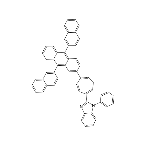 C1=CC(c2nc3ccccc3n2-c2ccccc2)=CCC=C1c1ccc2c(-c3ccc4ccccc4c3)c3ccccc3c(-c3ccc4ccccc4c3)c2c1